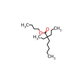 CCCCCC(CC)(CCC)C(=O)OCCCC